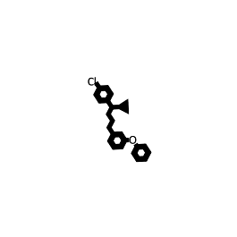 Clc1ccc(C(CCCc2cccc(Oc3ccccc3)c2)C2CC2)cc1